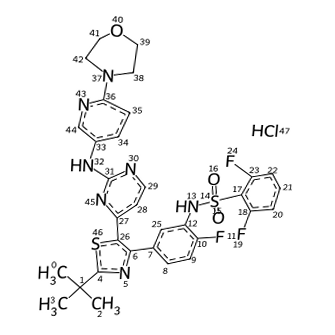 CC(C)(C)c1nc(-c2ccc(F)c(NS(=O)(=O)c3c(F)cccc3F)c2)c(-c2ccnc(Nc3ccc(N4CCOCC4)nc3)n2)s1.Cl